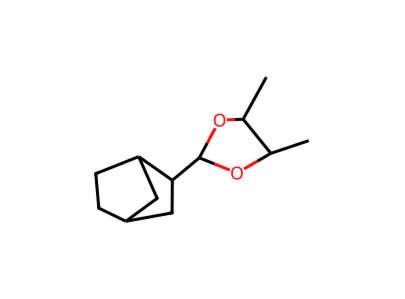 CC1OC(C2CC3CCC2C3)OC1C